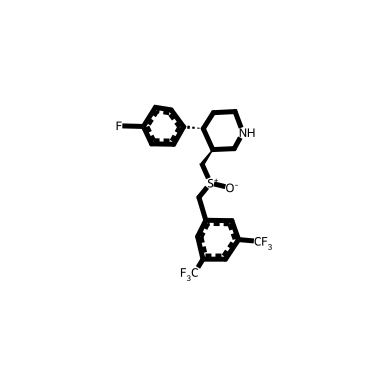 [O-][S+](Cc1cc(C(F)(F)F)cc(C(F)(F)F)c1)C[C@@H]1CNCC[C@H]1c1ccc(F)cc1